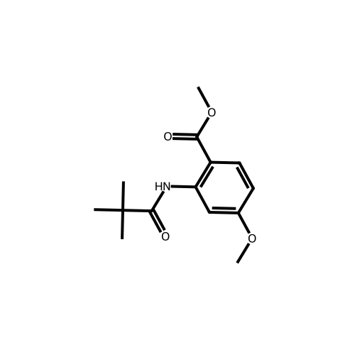 COC(=O)c1ccc(OC)cc1NC(=O)C(C)(C)C